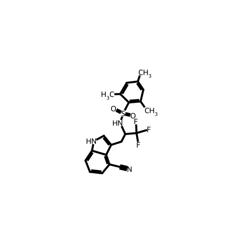 Cc1cc(C)c(S(=O)(=O)NC(Cc2c[nH]c3cccc(C#N)c23)C(F)(F)F)c(C)c1